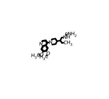 CCC(CNSN)C1CCN(c2ccnc3cc(OC)c(OC)cc23)CC1